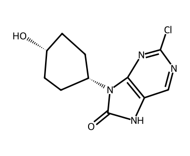 O=c1[nH]c2cnc(Cl)nc2n1[C@H]1CC[C@@H](O)CC1